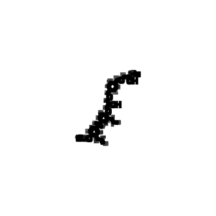 C=CCc1cc(C(C)(C)c2ccc(OC(C)(C)C)c(CC=C)c2)ccc1OCC(O)COCC1CCC(COCC(O)C(C)(C)C)CC1